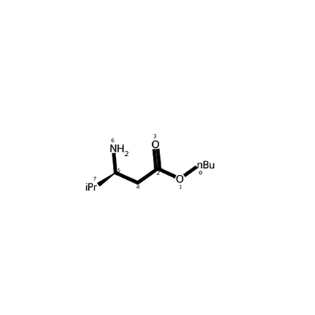 CCCCOC(=O)C[C@H](N)C(C)C